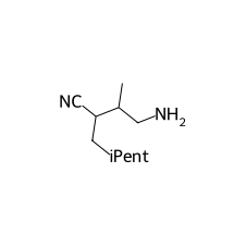 CCCC(C)CC(C#N)C(C)CN